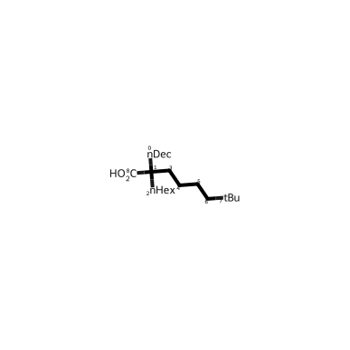 CCCCCCCCCCC(CCCCCC)(CCCCC(C)(C)C)C(=O)O